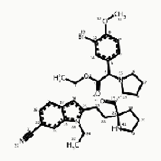 CCOC(=O)C(c1ccc(OC)c(Br)c1)N1CCC[C@@H]1C(=O)[C@]1(CCc2cc3ccc(C#N)cc3n2CC)CCCN1